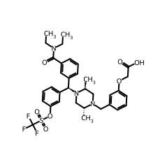 CCN(CC)C(=O)c1cccc([C@H](c2cccc(OS(=O)(=O)C(F)(F)F)c2)N2C[C@@H](C)N(Cc3cccc(OCC(=O)O)c3)C[C@@H]2C)c1